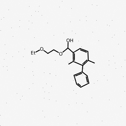 CCOCCOC(O)c1ccc(C)c(-c2ccccc2)c1C